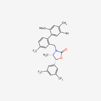 COc1cc(C)c(C(C)C)cc1-c1ccc(C(F)(F)F)cc1CN1C(=O)O[C@H](c2cc(C(F)(F)F)cc(C(F)(F)F)c2)[C@@H]1C